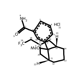 COC1(c2cccc(C(N)=O)c2)[C@@H]2CCC[C@H]1CN(CC(F)(F)F)C2.Cl